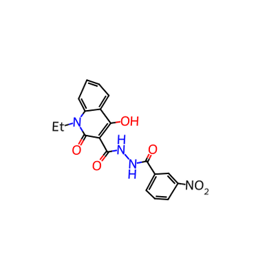 CCn1c(=O)c(C(=O)NNC(=O)c2cccc([N+](=O)[O-])c2)c(O)c2ccccc21